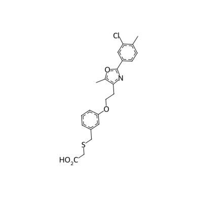 Cc1ccc(-c2nc(CCOc3cccc(CSCC(=O)O)c3)c(C)o2)cc1Cl